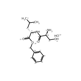 CC(C)C[C@H](NC(=O)[C@@H](N)CO)C(=O)OCc1ccccc1.Cl